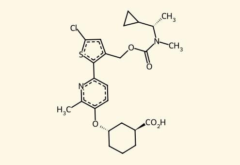 Cc1nc(-c2sc(Cl)cc2COC(=O)N(C)[C@@H](C)C2CC2)ccc1O[C@H]1CCC[C@H](C(=O)O)C1